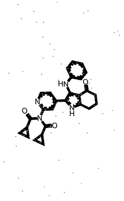 O=C1CCCc2[nH]c(-c3ccnc(N(C(=O)C4CC4)C(=O)C4CC4)c3)c(Nc3ccccc3)c21